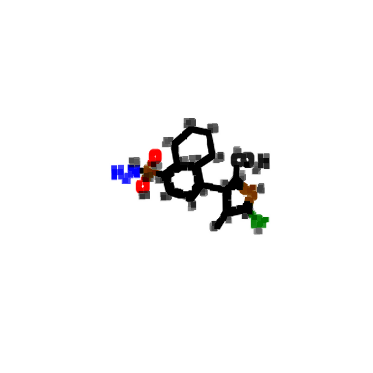 Cc1c(Br)sc(C(=O)O)c1-c1ccc(S(N)(=O)=O)c2c1CCCC2